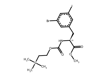 COC(=O)[C@H](Cc1cc(Br)cc(I)c1)NC(=O)OCC[Si](C)(C)C